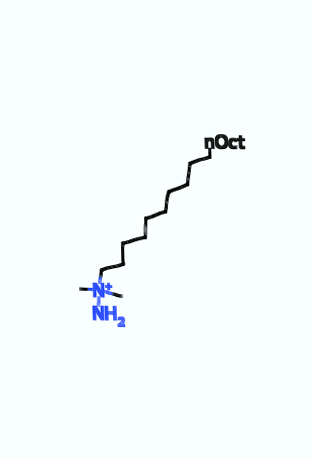 CCCCCCCCCCCCCCCCCC[N+](C)(C)N